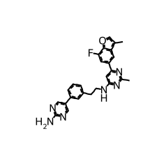 Cc1nc(NCCc2cccc(-c3cnc(N)nc3)c2)cc(-c2cc(F)c3occ(C)c3c2)n1